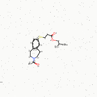 CCCCC(CC)COC(=O)CCSc1ccc2c(c1)CCN(C(=O)C(C)C)CC2